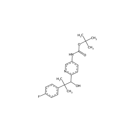 CC(C)(C)OC(=O)Nc1ccc(C(O)C(C)(C)c2ccc(F)cc2)nc1